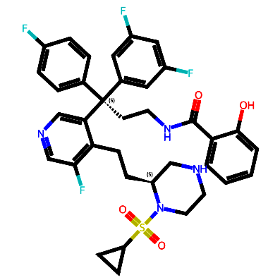 O=C(NCC[C@](c1ccc(F)cc1)(c1cc(F)cc(F)c1)c1cncc(F)c1CC[C@H]1CNCCN1S(=O)(=O)C1CC1)c1ccccc1O